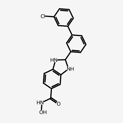 O=C(NO)c1ccc2c(c1)NC(c1cccc(-c3cccc(Cl)c3)c1)N2